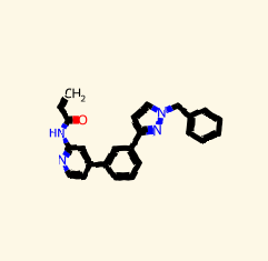 C=CC(=O)Nc1cc(-c2cccc(-c3ccn(Cc4ccccc4)n3)c2)ccn1